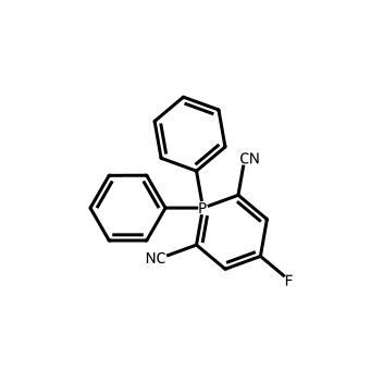 N#CC1=CC(F)=CC(C#N)=P1(c1ccccc1)c1ccccc1